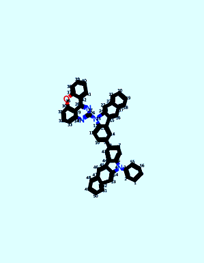 c1ccc(-n2c3ccc(-c4ccc5c(c4)c4cc6ccccc6cc4n5-c4nc5c6c(cccc6n4)Oc4ccccc4-5)cc3c3cc4ccccc4cc32)cc1